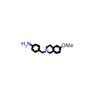 COc1ccc2c(c1)CCN(Cc1ccc(N)cc1)C2